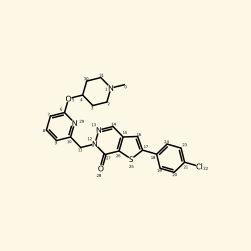 CN1CCC(Oc2cccc(Cn3ncc4cc(-c5ccc(Cl)cc5)sc4c3=O)n2)CC1